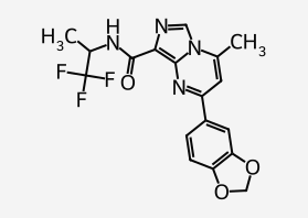 Cc1cc(-c2ccc3c(c2)OCO3)nc2c(C(=O)NC(C)C(F)(F)F)ncn12